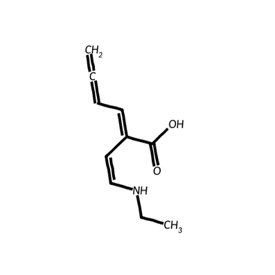 C=C=C/C=C(\C=C/NCC)C(=O)O